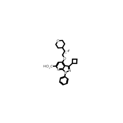 O=C(O)c1cc(OC[C@@H](F)C2CCOCC2)c2c(C3CCC3)nn(-c3ccccc3)c2n1